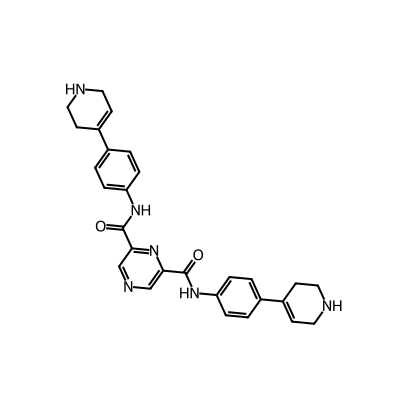 O=C(Nc1ccc(C2=CCNCC2)cc1)c1cncc(C(=O)Nc2ccc(C3=CCNCC3)cc2)n1